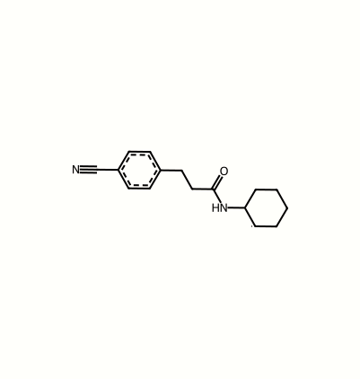 N#Cc1ccc(CCC(=O)NC2[CH]CCCC2)cc1